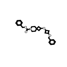 O=C(OCc1ccccc1)N1CCC2(CC1)CC(OC1CC(OCc3ccccc3)C1)C2